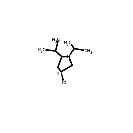 CC(C)C1C[C@H](Cl)CN1C(C)C